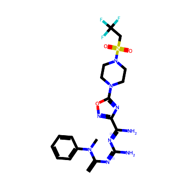 C=C(/N=C(N)\N=C(/N)c1noc(N2CCN(S(=O)(=O)CC(F)(F)F)CC2)n1)N(C)c1ccccc1